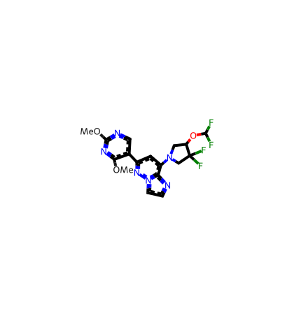 COc1ncc(-c2cc(N3CC(OC(F)F)C(F)(F)C3)c3nccn3n2)c(OC)n1